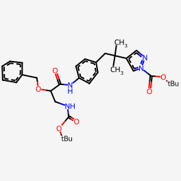 CC(C)(C)OC(=O)NCC(OCc1ccccc1)C(=O)Nc1ccc(CC(C)(C)c2cnn(C(=O)OC(C)(C)C)c2)cc1